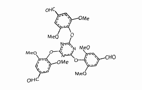 COc1cc(C=O)cc(OC)c1Oc1nc(Oc2c(OC)cc(C=O)cc2OC)nc(Oc2c(OC)cc(C=O)cc2OC)n1